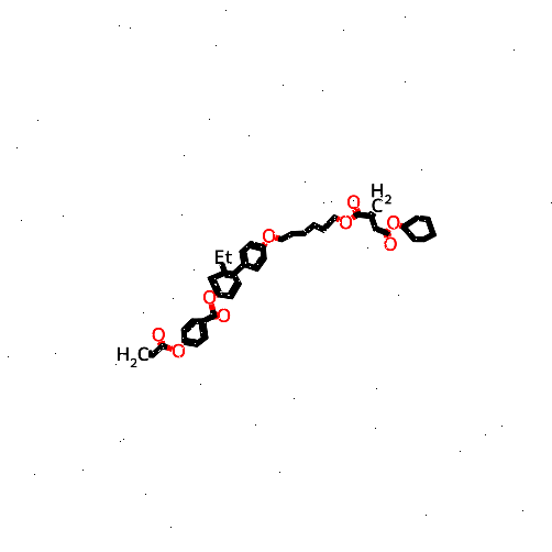 C=CC(=O)Oc1ccc(C(=O)Oc2ccc(-c3ccc(OCCCCCCOC(=O)C(=C)CC(=O)OC4CCCCC4)cc3)c(CC)c2)cc1